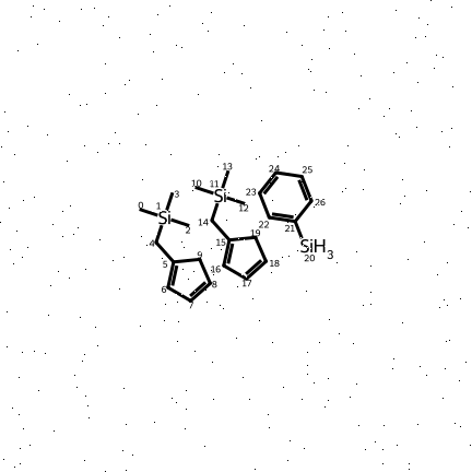 C[Si](C)(C)CC1=CC=CC1.C[Si](C)(C)CC1=CC=CC1.[SiH3]c1ccccc1